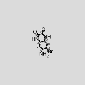 Nc1cc2[nH]c(=O)c(=O)[nH]c2cc1Br